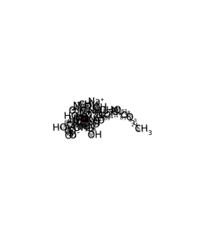 CCCCCOc1ccc(-c2cc(-c3ccc(C(=O)N4C(C(=O)N[C@H](C(=O)N5C[C@H](O)C[C@H]5C(=O)N[C@H](C(=O)N[C@H](C(=O)N5C[C@H](C)C(O)[C@H]5C(N)=O)[C@H](O)CC(N)=O)[C@H](O)[C@@H](O)c5ccc(O)c(OS(=O)(=O)[O-])c5)[C@@H](C)O)C[C@H](O)C4O)cc3)no2)cc1.[Na+]